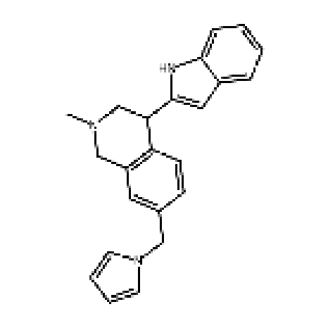 CN1Cc2cc(Cn3cccc3)ccc2C(c2cc3ccccc3[nH]2)C1